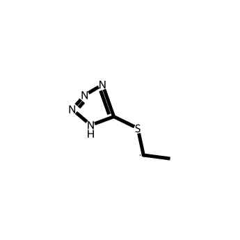 C[CH]Sc1nnn[nH]1